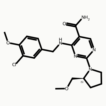 COC[C@@H]1CCCN1c1ncc(C(N)=O)c(NCc2ccc(OC)c(Cl)c2)n1